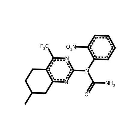 CC1CCc2c(nc(N(C(N)=O)c3ccccc3[N+](=O)[O-])nc2C(F)(F)F)C1